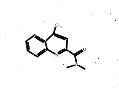 CN(C)C(=O)c1cc(C(F)(F)F)c2ccccc2n1